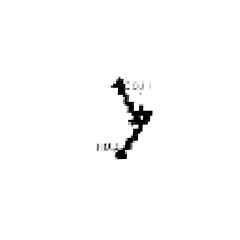 Cc1cc(CCCCCC2(C(=O)O)CC2)c(C)c(CCCCCC2(C(=O)O)CC2)c1C